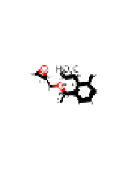 Cc1cccc([C@@H](C)OC[C@H]2CO2)c1C=CC(=O)O